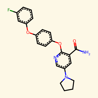 NC(=O)c1cc(N2CCCC2)cnc1Oc1ccc(Oc2cccc(F)c2)cc1